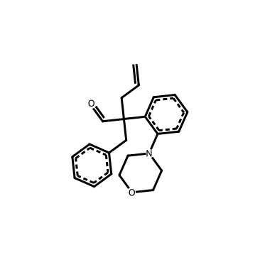 C=CCC(C=O)(Cc1ccccc1)c1ccccc1N1CCOCC1